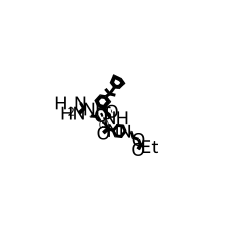 CCC(=O)OCCN1CCN(C(=O)[C@H](CCCNC(=N)N)NS(=O)(=O)c2cccc(C(C)(C)c3ccccc3)c2)CC1